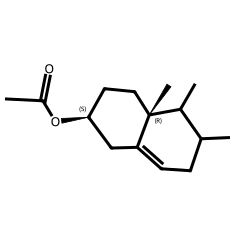 CC(=O)O[C@H]1CC[C@@]2(C)C(=CCC(C)C2C)C1